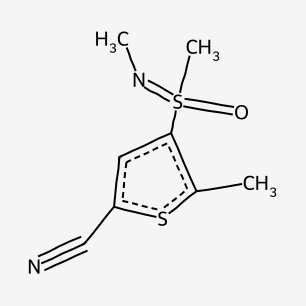 CN=S(C)(=O)c1cc(C#N)sc1C